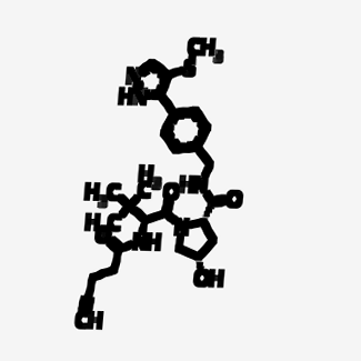 C#CCCC(=O)N[C@H](C(=O)N1C[C@@H](O)C[C@H]1C(=O)NCc1ccc(-c2[nH]ncc2SC)cc1)C(C)(C)C